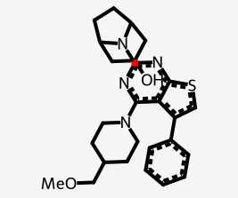 COCC1CCN(c2nc(N3C4CCC3CC(O)C4)nc3scc(-c4ccccc4)c23)CC1